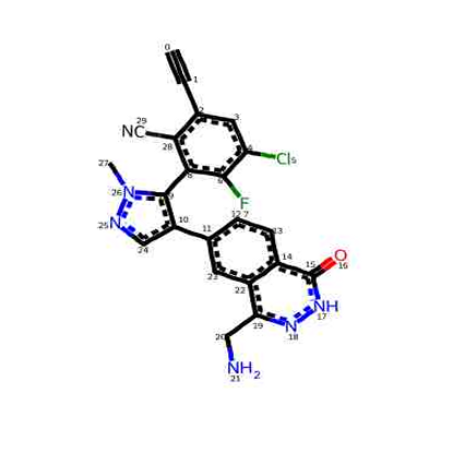 C#Cc1cc(Cl)c(F)c(-c2c(-c3ccc4c(=O)[nH]nc(CN)c4c3)cnn2C)c1C#N